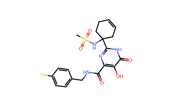 CS(=O)(=O)NC1(c2nc(C(=O)NCc3ccc(F)cc3)c(O)c(=O)[nH]2)CC=CCC1